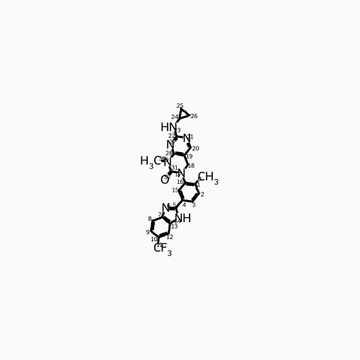 Cc1ccc(-c2nc3ccc(C(F)(F)F)cc3[nH]2)cc1N1Cc2cnc(NC3CC3)nc2N(C)C1=O